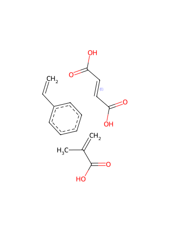 C=C(C)C(=O)O.C=Cc1ccccc1.O=C(O)/C=C/C(=O)O